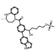 C[C@H]1CCN(C(=O)c2ccc(-c3ccc4[nH]ccc4c3)c(C(O)CCCCOS(C)(=O)=O)c2)c2ccccc2N1